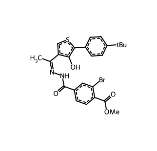 COC(=O)c1ccc(C(=O)NN=C(C)c2csc(-c3ccc(C(C)(C)C)cc3)c2O)cc1Br